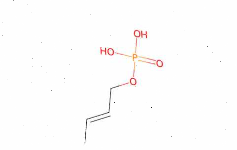 CC=CCOP(=O)(O)O